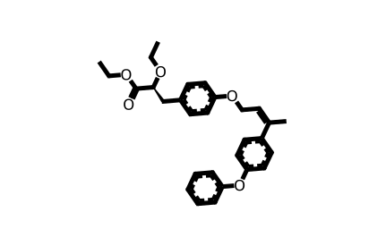 CCOC(=O)[C@H](Cc1ccc(OCC=C(C)c2ccc(Oc3ccccc3)cc2)cc1)OCC